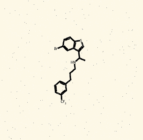 CC(NCCCc1cccc(C(F)(F)F)c1)c1csc2ccc(Br)cc12